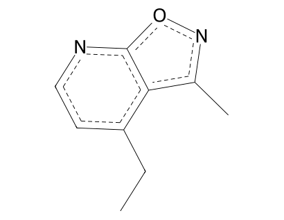 CCc1ccnc2onc(C)c12